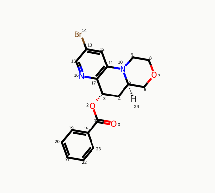 O=C(O[C@H]1C[C@@H]2COCCN2c2cc(Br)cnc21)c1ccccc1